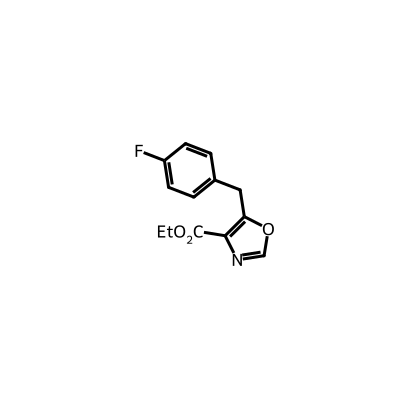 CCOC(=O)c1ncoc1Cc1ccc(F)cc1